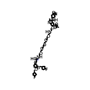 CC(C)(C)S(=O)(=O)c1cc2c(Nc3ccc4ocnc4c3)ncnc2cc1OCCNCCOCCOCCOCCOCCOCCN/C=C(\O)COc1ccc(OCc2ccc(F)cc2)c(OCc2ccc(F)cc2)c1